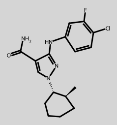 C[C@H]1CCCC[C@@H]1n1cc(C(N)=O)c(Nc2ccc(Cl)c(F)c2)n1